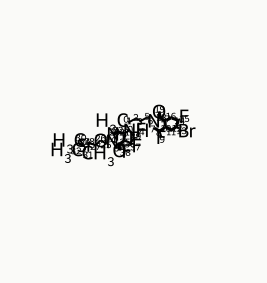 C[C@@H](C[C@@H](F)Cn1cc(F)c2cc(Br)c(F)cc2c1=O)Nc1cnn(COCC[Si](C)(C)C)c(=O)c1C(F)(F)F